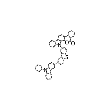 O=c1oc2c(ccc3c4ccccc4n(-c4ccc5sc6ccc(-c7ccc8c(c7)c7ccccc7n8-c7ccccc7)cc6c5c4)c32)c2ccccc12